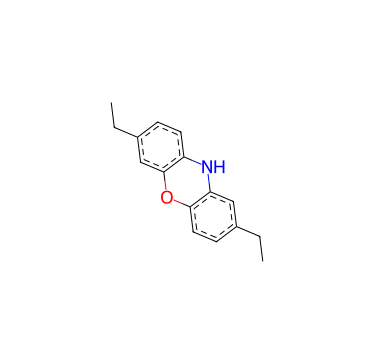 CCc1ccc2c(c1)Nc1ccc(CC)cc1O2